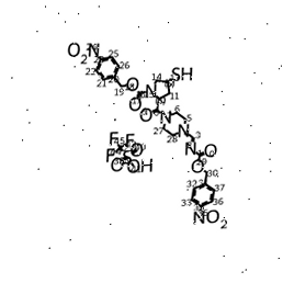 O=C(N=CN1CCN(C(=O)[C@@H]2C[C@H](S)CN2C(=O)OCc2ccc([N+](=O)[O-])cc2)CC1)OCc1ccc([N+](=O)[O-])cc1.O=S(=O)(O)C(F)(F)F